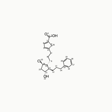 O=C(O)c1ccc(CCC[C@@H]2[C@@H](CCCc3ccccc3)[C@H](O)C[C@H]2Cl)s1